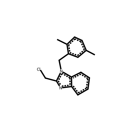 Cc1ccc(C)c(Cn2c(CCl)nc3ccccc32)c1